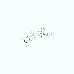 C[C@@H](Nc1nc(N2CC[C@H](NC(=O)OC(C)(C)C)[C@H](O)C2)ncc1F)c1ccc(Cl)cc1Cl